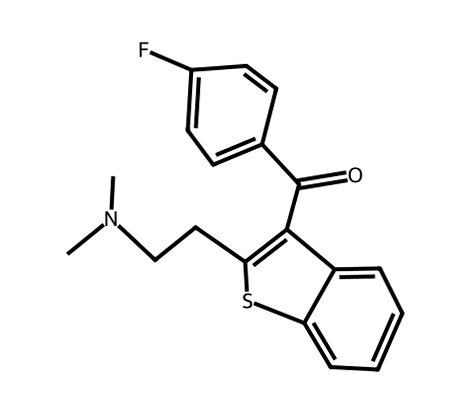 CN(C)CCc1sc2ccccc2c1C(=O)c1ccc(F)cc1